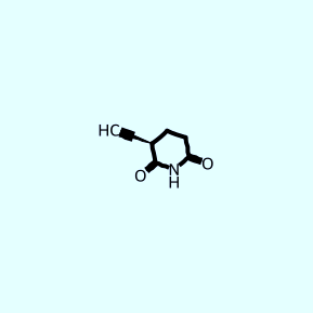 C#C[C@H]1CCC(=O)NC1=O